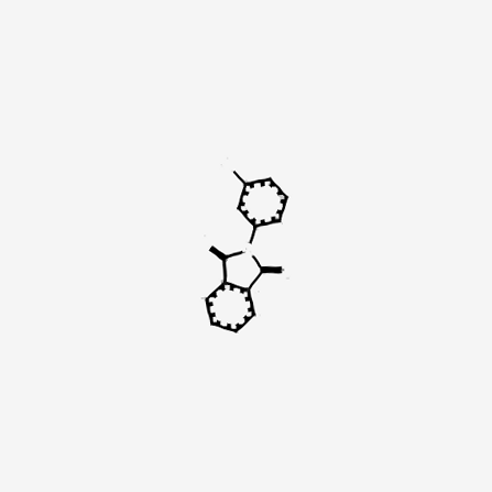 CC(=O)c1cccc(N2C(=O)c3ccccc3C2=O)c1